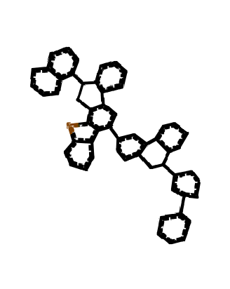 c1ccc(-c2cccc(C3Cc4ccc(-c5cc6c(c7sc8ccccc8c57)CC(c5cccc7ccccc57)c5ccccc5-6)cc4-c4ccccc43)c2)cc1